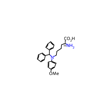 COc1ccc(N(CCCC[C@H](N)C(=O)O)C(c2ccccc2)c2ccccc2)cc1